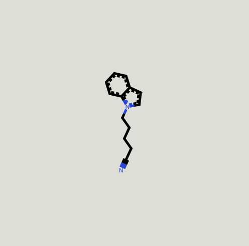 N#CCCCCn1c[c]c2ccccc21